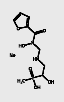 CP(=O)(O)C(O)CNCN(O)C(=O)c1ccco1.[Na]